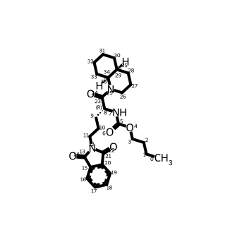 CCCCOC(=O)N[C@H](CCCN1C(=O)c2ccccc2C1=O)C(=O)N1CCC[C@H]2CCCC[C@@H]21